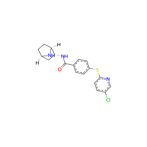 O=C(N[C@@H]1C[C@H]2CC[C@@H]1N2)c1ccc(Sc2ccc(Cl)cn2)cc1